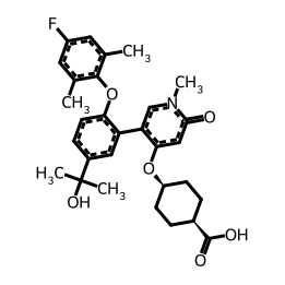 Cc1cc(F)cc(C)c1Oc1ccc(C(C)(C)O)cc1-c1cn(C)c(=O)cc1O[C@H]1CC[C@@H](C(=O)O)CC1